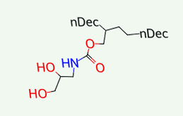 CCCCCCCCCCCCC(CCCCCCCCCC)COC(=O)NCC(O)CO